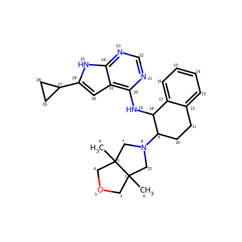 CC12COCC1(C)CN(C1CCc3ccccc3C1Nc1ncnc3[nH]c(C4CC4)cc13)C2